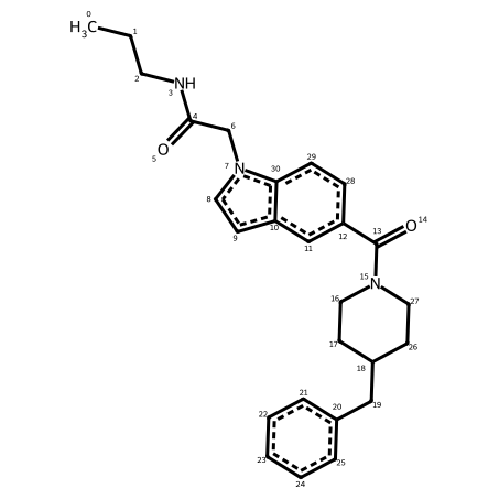 CCCNC(=O)Cn1ccc2cc(C(=O)N3CCC(Cc4ccccc4)CC3)ccc21